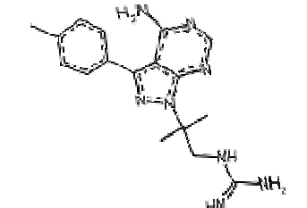 Cc1ccc(-c2nn(C(C)(C)CNC(=N)N)c3ncnc(N)c23)cc1